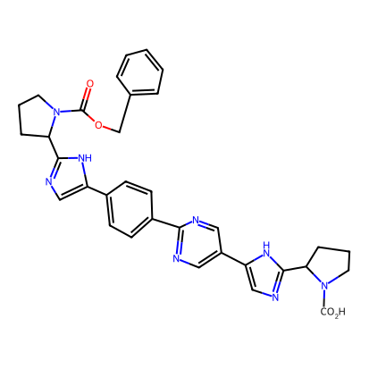 O=C(O)N1CCCC1c1ncc(-c2cnc(-c3ccc(-c4cnc(C5CCCN5C(=O)OCc5ccccc5)[nH]4)cc3)nc2)[nH]1